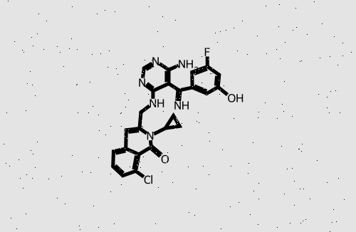 N=C(c1cc(O)cc(F)c1)c1c(N)ncnc1NCc1cc2cccc(Cl)c2c(=O)n1C1CC1